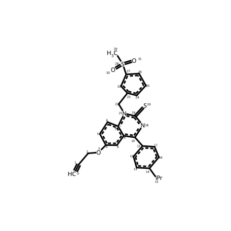 C#CCOc1ccc2c(c1)c(-c1ccc(C(C)C)cc1)nc(=S)n2Cc1cccc(S(C)(=O)=O)c1